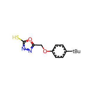 CC(C)(C)c1ccc(OCc2nnc(S)o2)cc1